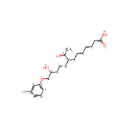 CC(=O)C(CCCCCCC(=O)O)CCCC(O)COc1cccc(I)c1